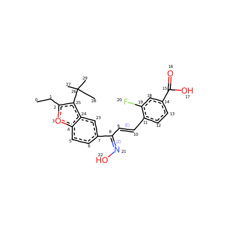 CCc1oc2ccc(C(/C=C/c3ccc(C(=O)O)cc3F)=N\O)cc2c1C(C)(C)C